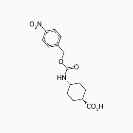 O=C(N[C@H]1CC[C@H](C(=O)O)CC1)OCc1ccc([N+](=O)[O-])cc1